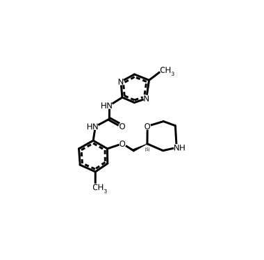 Cc1ccc(NC(=O)Nc2cnc(C)cn2)c(OC[C@@H]2CNCCO2)c1